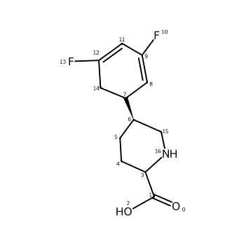 O=C(O)C1CC[C@@H](C2C=C(F)C=C(F)C2)CN1